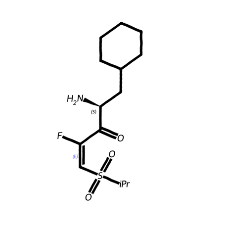 CC(C)S(=O)(=O)/C=C(/F)C(=O)[C@@H](N)CC1CCCCC1